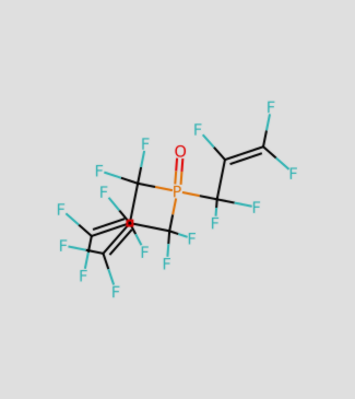 O=P(C(F)(F)C(F)=C(F)F)(C(F)(F)C(F)=C(F)F)C(F)(F)C(F)=C(F)F